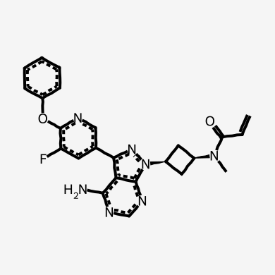 C=CC(=O)N(C)[C@H]1C[C@@H](n2nc(-c3cnc(Oc4ccccc4)c(F)c3)c3c(N)ncnc32)C1